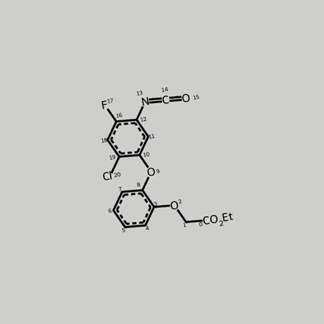 CCOC(=O)COc1ccccc1Oc1cc(N=C=O)c(F)cc1Cl